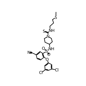 CSCCCNC(=S)N1CCC(NS(=O)(=O)c2cc(C#N)ccc2Oc2cc(Cl)cc(Cl)c2)CC1